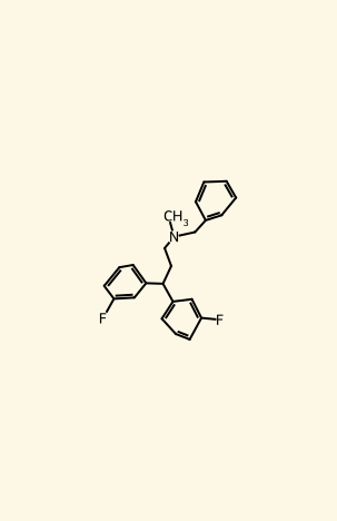 CN(CCC(c1cccc(F)c1)c1cccc(F)c1)Cc1ccccc1